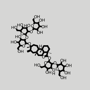 C=C1C[C@@]2(C)CCC3[C@](C)(C(=O)OC4OC(CO)C(O)C(O)C4OC4OC(CO)C(O)C(O)C4O)CCC[C@@]3(C)[C@@H]2CC[C@@]1(C)OC1OC(CO)C(O)C(O)C1OC1OC(CO)C(O)C(O)C1OC1OC(CO)C(O)C(O)C1O